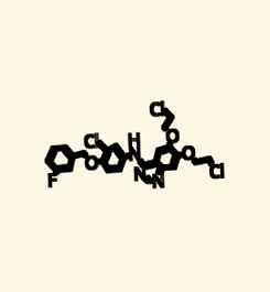 Fc1cccc(COc2ccc(Nc3ncnc4cc(OCCCl)c(OCCCl)cc34)cc2Cl)c1